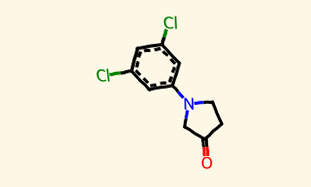 O=C1CCN(c2cc(Cl)cc(Cl)c2)C1